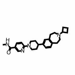 CNC(=O)c1ccc(N2CCC(c3ccc4c(c3)CCN(C3CCC3)CC4)CC2)nc1